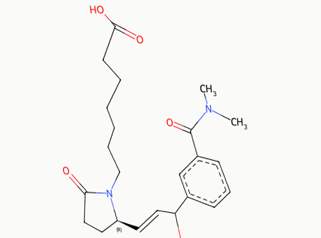 CN(C)C(=O)c1cccc(C(O)C=C[C@H]2CCC(=O)N2CCCCCCC(=O)O)c1